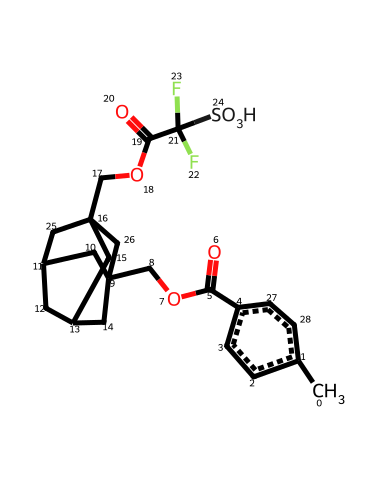 Cc1ccc(C(=O)OCC23CC4CC(C2)CC(COC(=O)C(F)(F)S(=O)(=O)O)(C4)C3)cc1